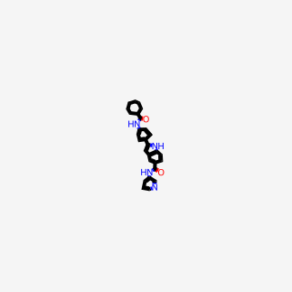 O=C(Nc1cccnc1)c1ccc2[nH]c(-c3ccc(NC(=O)C4CCCCCC4)cc3)cc2c1